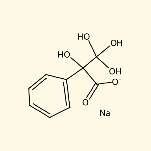 O=C([O-])C(O)(c1ccccc1)C(O)(O)O.[Na+]